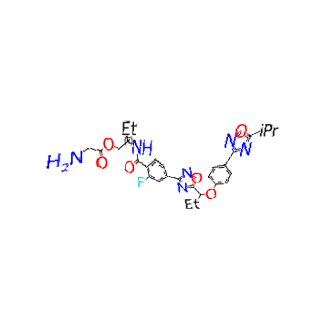 CCC(Oc1ccc(-c2noc(C(C)C)n2)cc1)c1nc(-c2ccc(C(=O)N[C@H](CC)COC(=O)CN)c(F)c2)no1